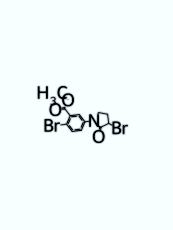 COC(=O)c1cc(N2CCC(Br)C2=O)ccc1Br